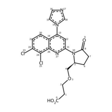 O=C(O)CCOC[C@@H]1CCC(=O)N1c1cc(-n2ccnc2)c2ccc(Cl)c(Cl)c2n1